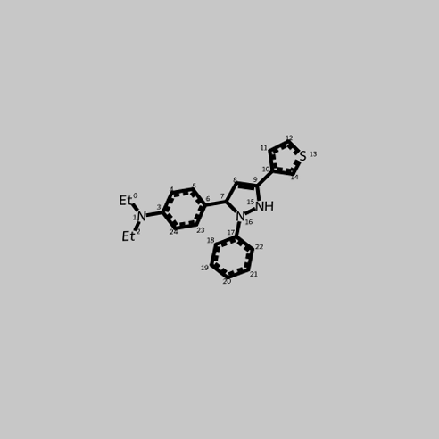 CCN(CC)c1ccc(C2C=C(c3ccsc3)NN2c2ccccc2)cc1